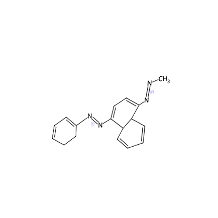 C/N=N/C1=CC=C(/N=N/C2=CC=CCC2)C2C=CC=CC12